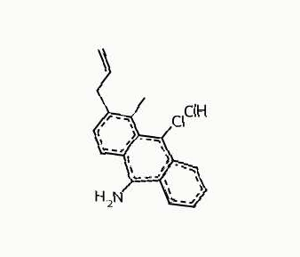 C=CCc1ccc2c(N)c3ccccc3c(Cl)c2c1C.Cl